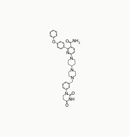 NC(=O)c1ccc(N2CCC(N3CCN(Cc4cccc(N5CCC(=O)NC5=O)c4)CC3)CC2)nc1-c1ccc(Oc2ccccc2)cc1